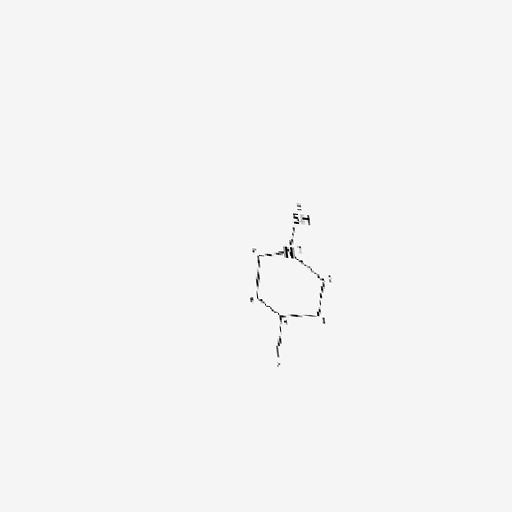 SN1CCC(I)CC1